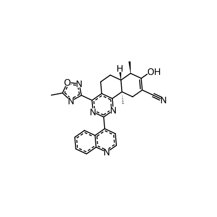 Cc1nc(-c2nc(-c3ccnc4ccccc34)nc3c2CC[C@@H]2[C@@H](C)C(O)=C(C#N)C[C@@]32C)no1